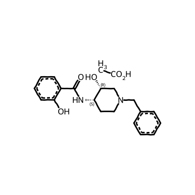 CC(=O)O.O=C(N[C@H]1CCN(Cc2ccccc2)C[C@H]1O)c1ccccc1O